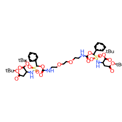 CC(C)(C)OC(=O)CC(NS(=O)(=O)C(OC(=O)NCCOCCOCCNC(=O)OC(c1ccccc1)S(=O)(=O)NC(CC(=O)OC(C)(C)C)C(=O)OC(C)(C)C)c1ccccc1)C(=O)OC(C)(C)C